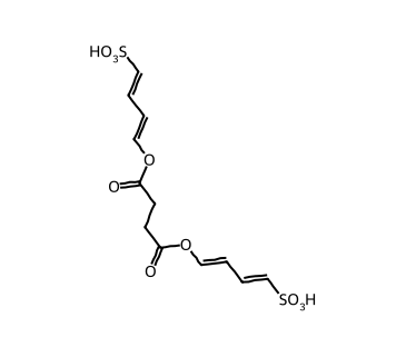 O=C(CCC(=O)OC=CC=CS(=O)(=O)O)OC=CC=CS(=O)(=O)O